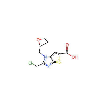 O=C(O)c1cc2c(nc(CCl)n2CC2CCO2)s1